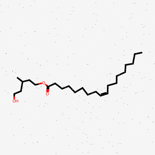 CCCCCCCC/C=C\CCCCCCCC(=O)OCCC(C)CCO